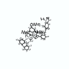 COc1ccc(C(N)(C(=O)OCC2c3ccccc3-c3ccccc32)C(Oc2ccccc2)C(=O)NNCc2ccc(CN)cc2)c(OC)c1